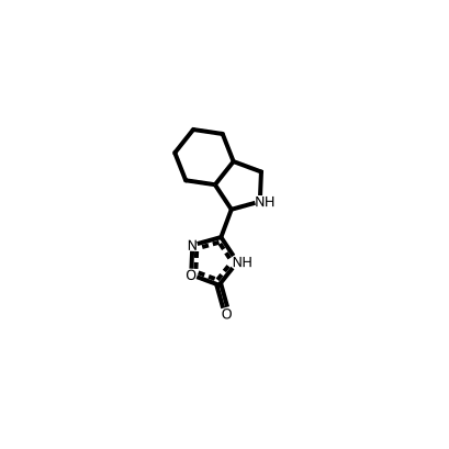 O=c1[nH]c(C2NCC3CCCCC32)no1